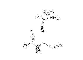 C=CCNC([O-])=S.NC([O-])=S.[Cu+2]